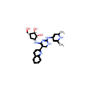 CC1=CC(NC2=NC(N[C@@H]3C[C@H](CO)[C@@H](O)[C@H]3O)=C(c3ccc4ccccc4n3)CN2)=CC(C)N1